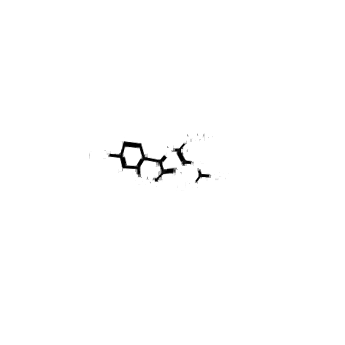 CCCC(CCC)Oc1nc(C)c(-c2ccc(C(F)(F)F)cc2OC)nc1NC